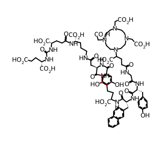 O=C(O)CC[C@H](NC(=O)N[C@@H](CCC(=O)N[C@@H](CCCNC(=O)C[C@@H](NC(=O)c1cc(O)cc(O)c1)C(=O)NCCCC[C@@H](NC(=O)[C@@H](Cc1ccc2ccccc2c1)NC(=O)[C@@H](Cc1ccc(O)cc1)NC(=O)CNC(=O)CCC(C(=O)O)N1CCN(CC(=O)O)CCN(CC(=O)O)CCN(CC(=O)O)CC1)C(=O)O)C(=O)O)C(=O)O)C(=O)O